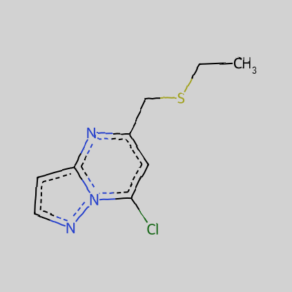 CCSCc1cc(Cl)n2nccc2n1